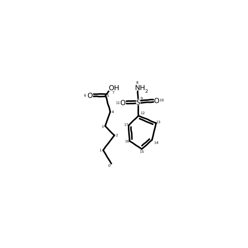 CCCCCC(=O)O.NS(=O)(=O)c1ccccc1